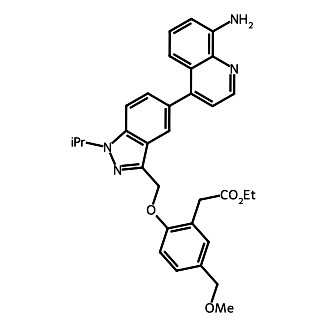 CCOC(=O)Cc1cc(COC)ccc1OCc1nn(C(C)C)c2ccc(-c3ccnc4c(N)cccc34)cc12